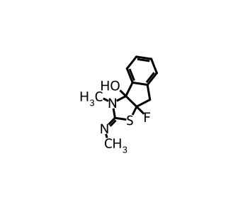 C/N=C1\SC2(F)Cc3ccccc3C2(O)N1C